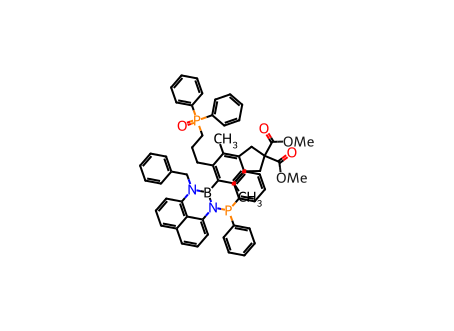 COC(=O)C1(C(=O)OC)Cc2c(C)c(CCCP(=O)(c3ccccc3)c3ccccc3)c(B3N(Cc4ccccc4)c4cccc5cccc(c45)N3P(c3ccccc3)c3ccccc3)c(C)c2C1